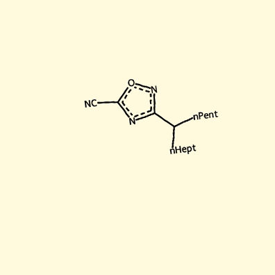 CCCCCCCC(CCCCC)c1noc(C#N)n1